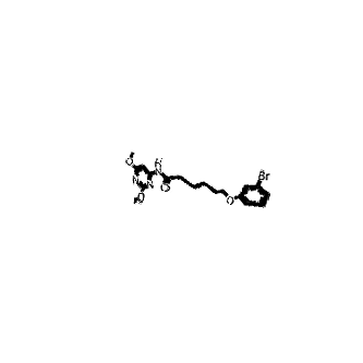 COc1cc(NC(=O)CCCCCOc2cccc(Br)c2)nc(OC)n1